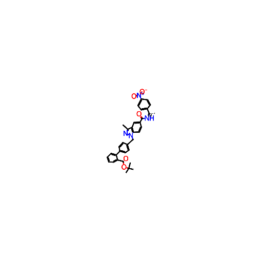 Cc1nn(Cc2ccc(-c3ccccc3C(=O)OC(C)(C)C)cc2)c2ccc(C(=O)N[C@@H](C)c3ccc([N+](=O)[O-])cc3)cc12